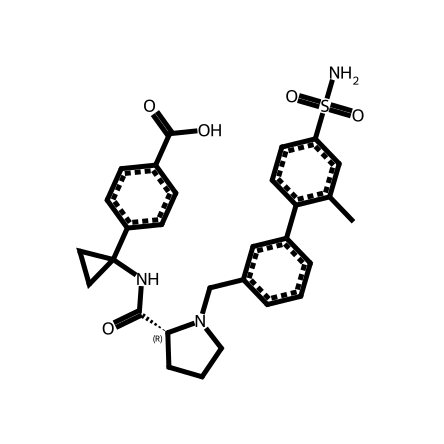 Cc1cc(S(N)(=O)=O)ccc1-c1cccc(CN2CCC[C@@H]2C(=O)NC2(c3ccc(C(=O)O)cc3)CC2)c1